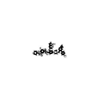 O=C(NS(=O)(=O)c1cc(F)c(NCC2CCOCC2)c([N+](=O)[O-])c1)c1ccc(N2CCN(CC3=C(c4ccc(Cl)cc4)CC4(CCC4)CC3)CC2)cc1Oc1cnc2[nH]ccc2c1